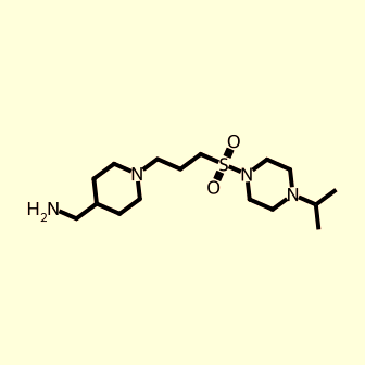 CC(C)N1CCN(S(=O)(=O)CCCN2CCC(CN)CC2)CC1